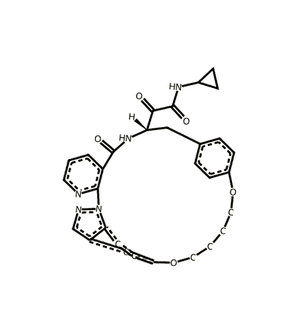 O=C(NC1CC1)C(=O)[C@@H]1Cc2ccc(cc2)OCCCCOc2ccc3c(cnn3-c3ncccc3C(=O)N1)c2